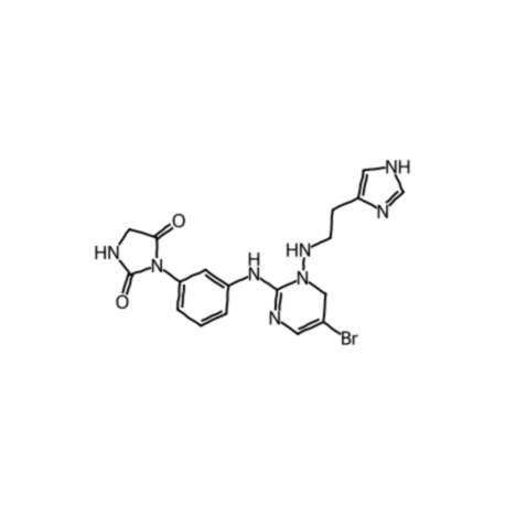 O=C1CNC(=O)N1c1cccc(NC2=NC=C(Br)CN2NCCc2c[nH]cn2)c1